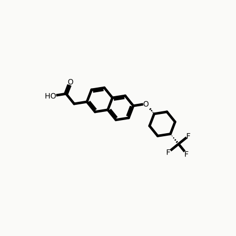 O=C(O)Cc1ccc2cc(O[C@H]3CC[C@@H](C(F)(F)F)CC3)ccc2c1